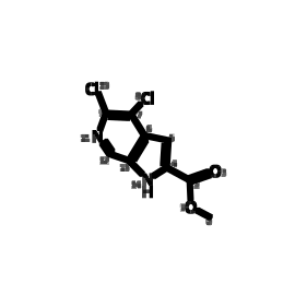 COC(=O)c1cc2c(Cl)c(Cl)ncc2[nH]1